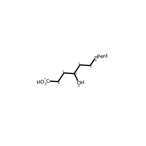 CCCCCCCC(O)CCC(=O)O